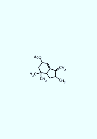 C=C1C2=CC(OC(C)=O)CC(C)(C)C2CC1C